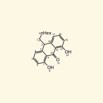 CCCCCCSC1c2cccc(O)c2C(=O)c2c(O)cccc21